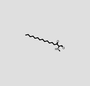 CCCCCCCCCCCCCC(=O)C(C=O)NC